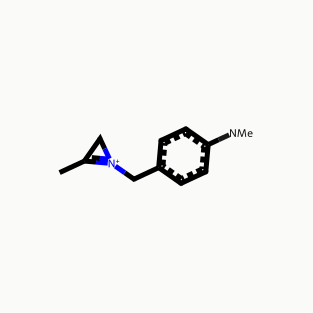 CNc1ccc(C[N+]2=C(C)C2)cc1